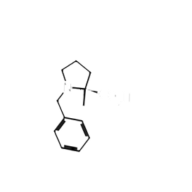 C[C@@]1(C(=O)O)CCCN1Cc1ccccc1